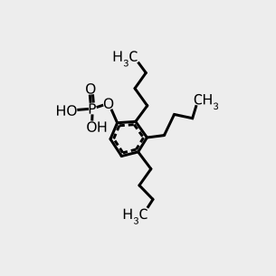 CCCCc1ccc(OP(=O)(O)O)c(CCCC)c1CCCC